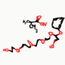 C=C(C)C(=O)O.OCCOCCOCCOCCOC(CO)Oc1ccccc1